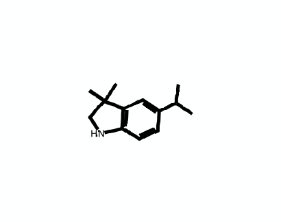 CC(C)c1ccc2c(c1)C(C)(C)CN2